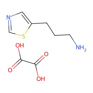 NCCCc1cncs1.O=C(O)C(=O)O